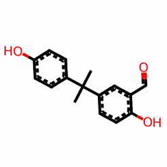 CC(C)(c1ccc(O)cc1)c1ccc(O)c(C=O)c1